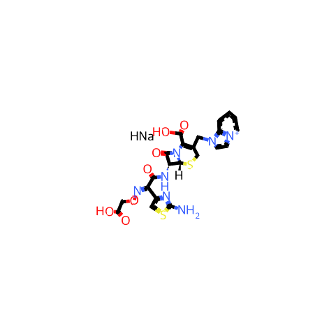 Nc1nc(/C(=N\OCC(=O)O)C(=O)N[C@@H]2C(=O)N3C(C(=O)O)=C(Cn4cc[n+]5ccccc45)CS[C@H]23)cs1.[NaH]